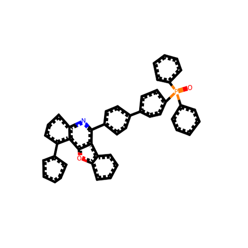 O=P(c1ccccc1)(c1ccccc1)c1ccc(-c2ccc(-c3nc4cccc(-c5ccccc5)c4c4oc5ccccc5c34)cc2)cc1